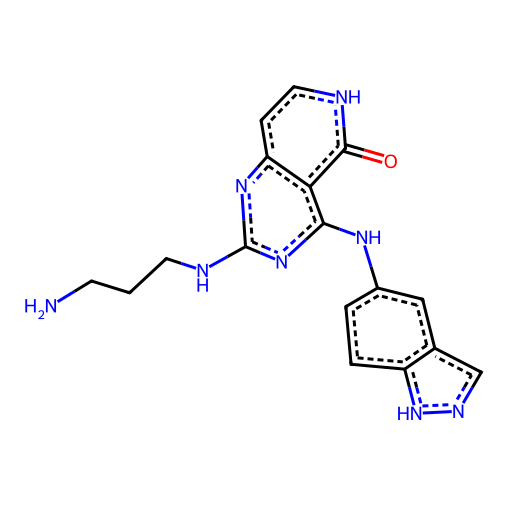 NCCCNc1nc(Nc2ccc3[nH]ncc3c2)c2c(=O)[nH]ccc2n1